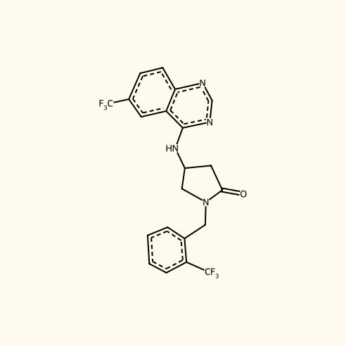 O=C1CC(Nc2ncnc3ccc(C(F)(F)F)cc23)CN1Cc1ccccc1C(F)(F)F